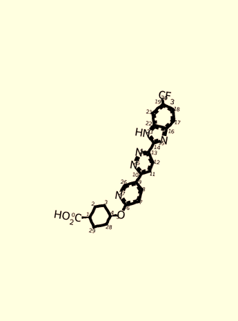 O=C(O)[C@H]1CC[C@@H](Oc2ccc(-c3ccc(-c4nc5ccc(C(F)(F)F)cc5[nH]4)nn3)cn2)CC1